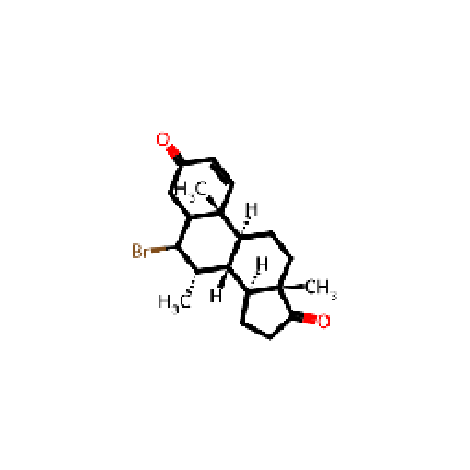 C[C@H]1[C@@H]2[C@H](CC[C@]3(C)C(=O)CC[C@@H]23)[C@@]2(C)C=CC(=O)CC2[C@@H]1Br